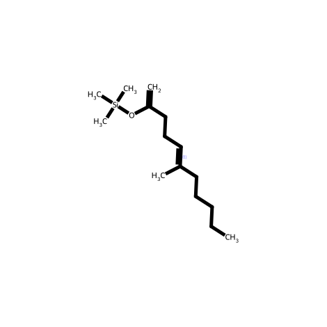 C=C(CC/C=C(\C)CCCCC)O[Si](C)(C)C